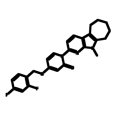 Cn1c2c(c3ccc(-n4ccc(OCc5ccc(F)cc5F)cc4=O)nc31)CCCCC2